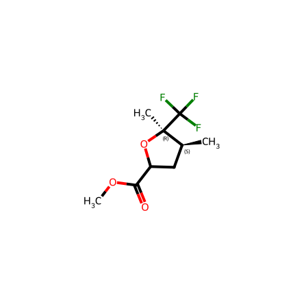 COC(=O)C1C[C@H](C)[C@](C)(C(F)(F)F)O1